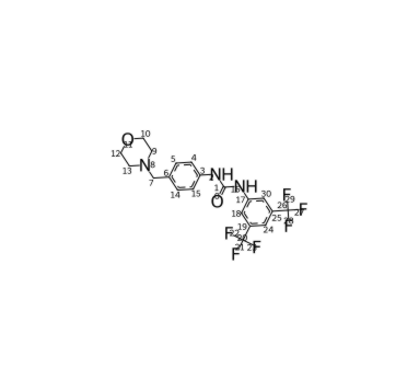 O=C(Nc1ccc(CN2CCOCC2)cc1)Nc1cc(C(F)(F)F)cc(C(F)(F)F)c1